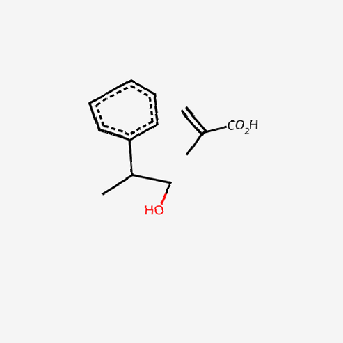 C=C(C)C(=O)O.CC(CO)c1ccccc1